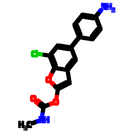 CNC(=O)Oc1cc2cc(-c3ccc(N)cc3)cc(Cl)c2o1